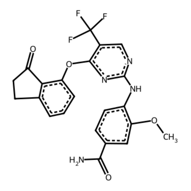 COc1cc(C(N)=O)ccc1Nc1ncc(C(F)(F)F)c(Oc2cccc3c2C(=O)CC3)n1